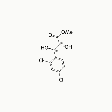 COC(=O)[C@H](O)[C@H](O)c1ccc(Cl)cc1Cl